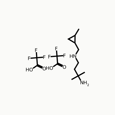 CC1CC1CNCCC(C)(C)N.O=C(O)C(F)(F)F.O=C(O)C(F)(F)F